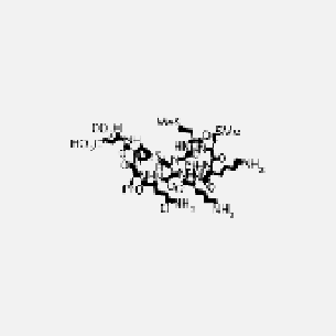 CSCC[C@H](NC(=O)[C@H](C)N)C(=O)N[C@@H](CCSC)C(=O)N[C@@H](CCCCN)C(=O)N[C@@H](CCCCN)C(=O)N[C@@H](CCSC)C(=O)N[C@@H](CCC(N)=O)C(=O)N[C@@H](CC(C)C)C(=O)N1CCC[C@H]1C(=O)N[C@@H](CCC(=O)O)C(=O)O